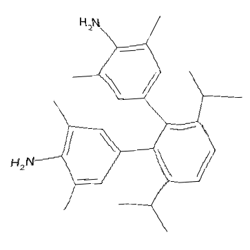 Cc1cc(-c2c(C(C)C)ccc(C(C)C)c2-c2cc(C)c(N)c(C)c2)cc(C)c1N